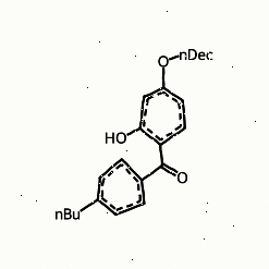 CCCCCCCCCCOc1ccc(C(=O)c2ccc(CCCC)cc2)c(O)c1